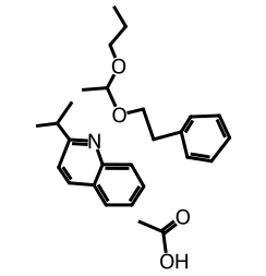 CC(=O)O.CC(C)c1ccc2ccccc2n1.CCCOC(C)OCCc1ccccc1